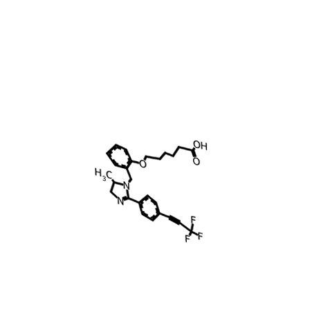 CC1CN=C(c2ccc(C#CC(F)(F)F)cc2)N1Cc1ccccc1OCCCCCC(=O)O